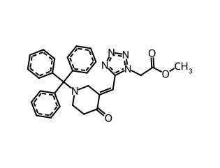 COC(=O)Cn1nnnc1/C=C1\CN(C(c2ccccc2)(c2ccccc2)c2ccccc2)CCC1=O